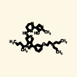 CCCC(C)n1nc(-c2cccc(OCCN(CCC)CCC)c2)c2cnc(NC3=NC(c4cnn(C)c4O)=NCC3)cc21